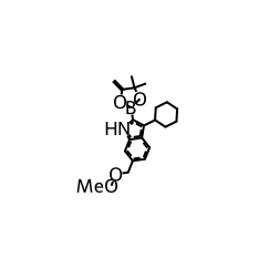 C=C1OB(c2[nH]c3cc(COOC)ccc3c2C2CCCCC2)OC1(C)C